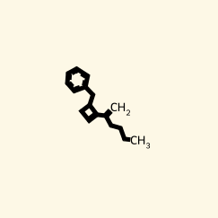 C=C(CCCC)C1=CCC1Cc1ccccc1